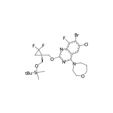 CC(C)(C)[Si](C)(C)OC[C@@]1(COc2nc(N3CCCOCC3)c3cc(Cl)c(Br)c(F)c3n2)CC1(F)F